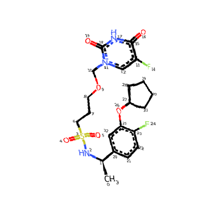 C[C@@H](NS(=O)(=O)CCCOCn1cc(F)c(=O)[nH]c1=O)c1ccc(F)c(OC2CCCC2)c1